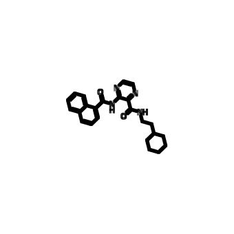 O=C(NCCC1CCCCC1)c1nccnc1NC(=O)c1cccc2ccccc12